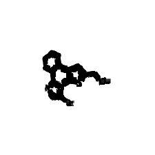 CC(C)(C)Cc1cc2c3ccccc3c3ncc(Br)n3c2s1